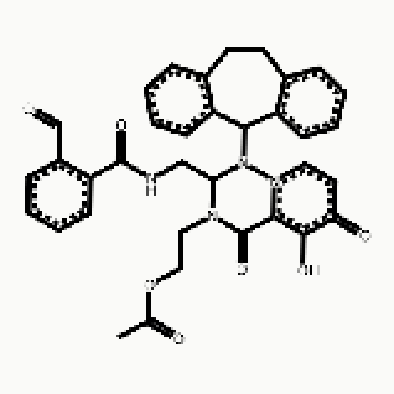 CC(=O)OCCN1C(=O)c2c(O)c(=O)ccn2N(C2c3ccccc3CCc3ccccc32)C1CNC(=O)c1ccccc1C=O